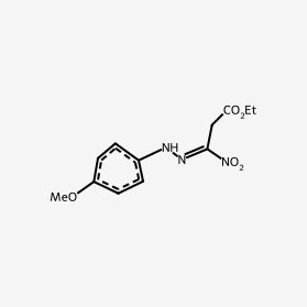 CCOC(=O)CC(=NNc1ccc(OC)cc1)[N+](=O)[O-]